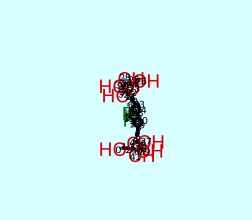 OCC[C@H]1O[C@H](C#Cc2ccc3c(c2)C(F)(F)c2cc(C#C[C@H]4O[C@H](CO)[C@@H](O)[C@H](O)[C@@H]4O)ccc2-3)[C@@H](O)[C@@H](O)[C@@H]1O